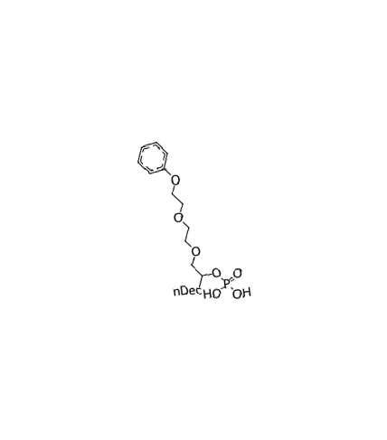 CCCCCCCCCCC(COCCOCCOc1ccccc1)OP(=O)(O)O